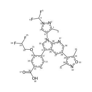 Cc1nn(C(F)F)cc1-n1cc(-c2ccc(C(=O)O)cc2OCC(F)F)c2cc(-c3c(C)noc3C)cnc21